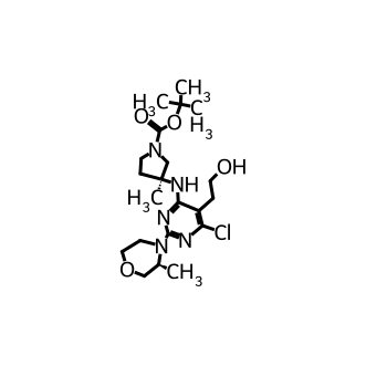 C[C@H]1COCCN1c1nc(Cl)c(CCO)c(N[C@@]2(C)CCN(C(=O)OC(C)(C)C)C2)n1